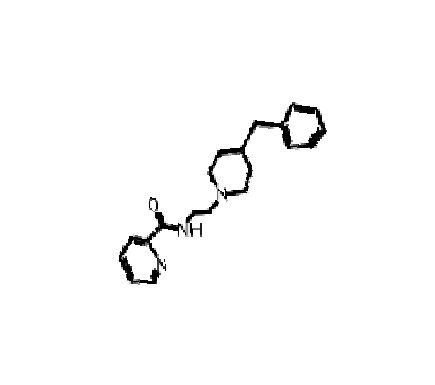 O=C(NCCN1CCC(Cc2ccccc2)CC1)c1ccccn1